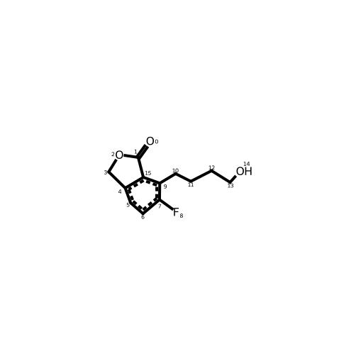 O=C1OCc2ccc(F)c(CCCCO)c21